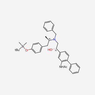 CC(=O)Nc1cc([C@H](O)CN(Cc2ccccc2)[C@H](C)Cc2ccc(O[Si](C)(C)C(C)(C)C)cc2)ccc1-c1ccccc1